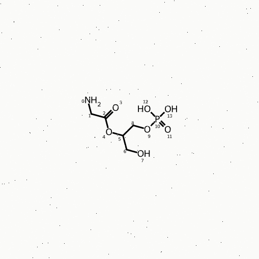 NCC(=O)OC(CO)COP(=O)(O)O